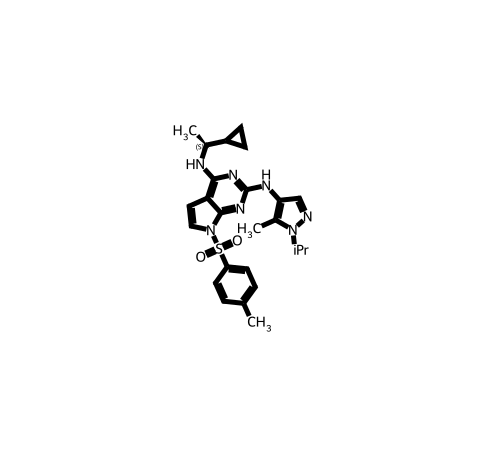 Cc1ccc(S(=O)(=O)n2ccc3c(N[C@@H](C)C4CC4)nc(Nc4cnn(C(C)C)c4C)nc32)cc1